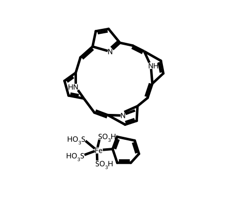 C1=Cc2cc3ccc(cc4nc(cc5ccc(cc1n2)[nH]5)C=C4)[nH]3.O=[S](=O)(O)[Fe]([c]1ccccc1)([S](=O)(=O)O)([S](=O)(=O)O)[S](=O)(=O)O